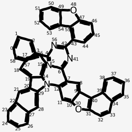 c1ccc(-c2nc(-c3cc4c(cc3-n3c5ccccc5c5cc6ccccc6cc53)oc3ccc5ccccc5c34)nc(-c3cccc4oc5ccccc5c34)n2)cc1